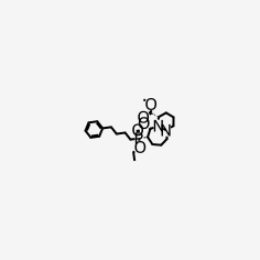 CCOP(=O)(CCCCc1ccccc1)[C@H]1CCCN2CCC[C@@H](C(=O)OC)N2C1=O